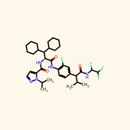 CC(C)C(C(=O)NC(F)C(F)F)c1ccc(NC(=O)[C@@H](NC(=O)c2ccnn2C(C)C)C(C2CCCCC2)C2CCCCC2)c(F)c1